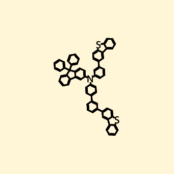 c1ccc(C2(c3ccccc3)c3ccccc3-c3cc(N(c4ccc(-c5cccc(-c6ccc7sc8ccccc8c7c6)c5)cc4)c4cccc(-c5ccc6sc7ccccc7c6c5)c4)ccc32)cc1